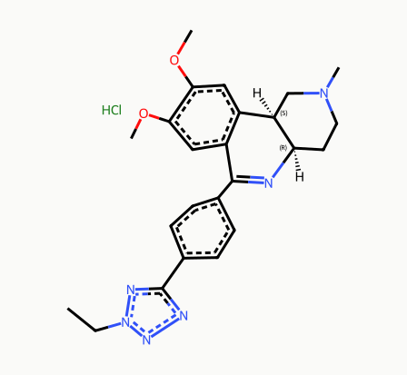 CCn1nnc(-c2ccc(C3=N[C@@H]4CCN(C)C[C@@H]4c4cc(OC)c(OC)cc43)cc2)n1.Cl